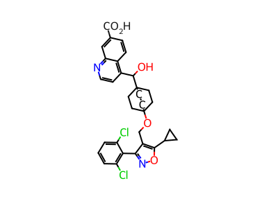 O=C(O)c1ccc2c(C(O)C34CCC(OCc5c(-c6c(Cl)cccc6Cl)noc5C5CC5)(CC3)CC4)ccnc2c1